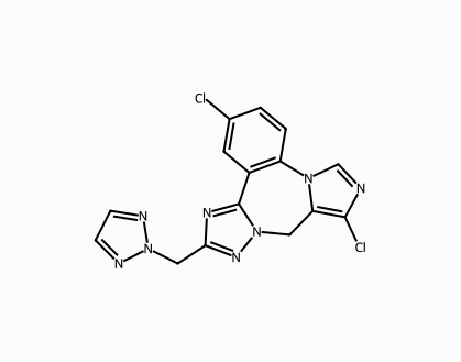 Clc1ccc2c(c1)-c1nc(Cn3nccn3)nn1Cc1c(Cl)ncn1-2